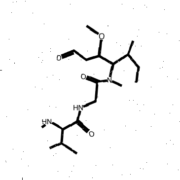 CCC(C)C(C(CC=O)OC)N(C)C(=O)CNC(=O)C(NC)C(C)C